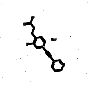 O=S([O-])CCc1ccc(C#Cc2cccnc2)cc1F.[Na+]